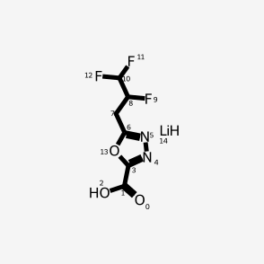 O=C(O)c1nnc(CC(F)C(F)F)o1.[LiH]